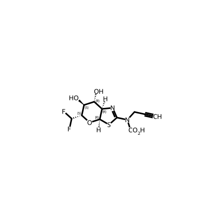 C#CCN(C(=O)O)C1=N[C@@H]2[C@@H](O)[C@H](O)[C@@H](C(F)F)O[C@@H]2S1